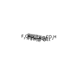 CCC(C(=O)O)[Si]1(C)CCCC(C(F)(F)C(F)(F)C(F)(F)C(F)(F)C(F)(F)C(F)(F)C(F)(F)C(F)(F)C(F)(F)C(F)(F)F)O1